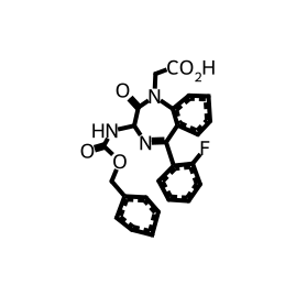 O=C(O)CN1C(=O)C(NC(=O)OCc2ccccc2)N=C(c2ccccc2F)c2ccccc21